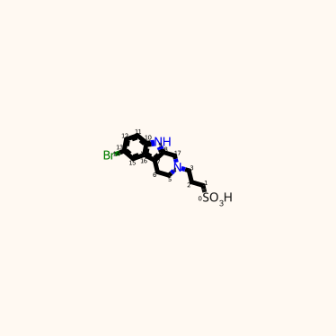 O=S(=O)(O)CCCN1CCc2c([nH]c3ccc(Br)cc23)C1